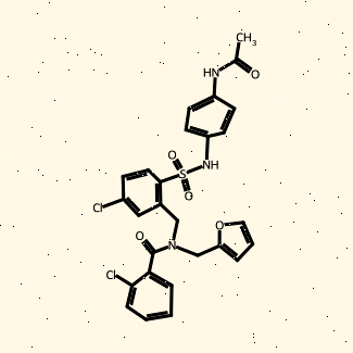 CC(=O)Nc1ccc(NS(=O)(=O)c2ccc(Cl)cc2CN(Cc2ccco2)C(=O)c2ccccc2Cl)cc1